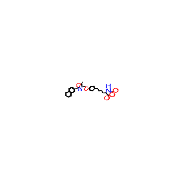 Cc1oc(-c2ccc3ccccc3c2)nc1COc1ccc(CCCCC2NC(=O)OC2=O)cc1